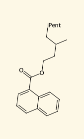 CCCC(C)CC(C)CCOC(=O)c1cccc2ccccc12